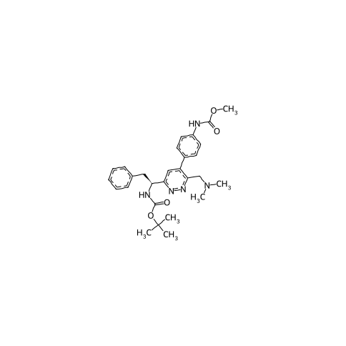 COC(=O)Nc1ccc(-c2cc([C@H](Cc3ccccc3)NC(=O)OC(C)(C)C)nnc2CN(C)C)cc1